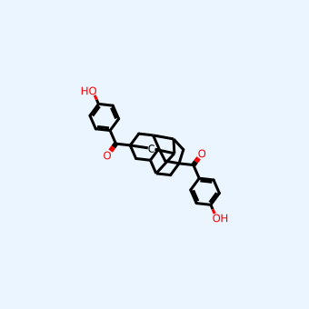 O=C(c1ccc(O)cc1)C12CC3C4CC5(C(=O)c6ccc(O)cc6)CC3C(C1)C(C5)C4C2